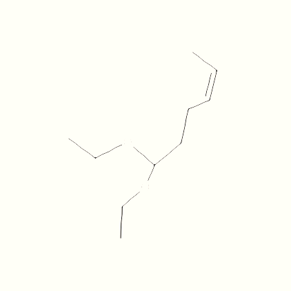 C/C=C\CCC(OCC)OCC